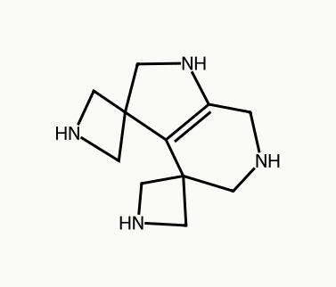 C1NCC2(CNC2)C2=C1NCC21CNC1